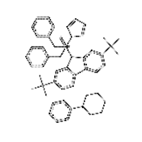 [CH2]=[Hf]([CH2]c1ccccc1)([CH2]c1ccccc1)([CH]1C=CC=C1)[CH]1c2cc(C(C)(C)C)ccc2-c2ccc(C(C)(C)C)cc21.c1ccc([C]2CCCCC2)cc1